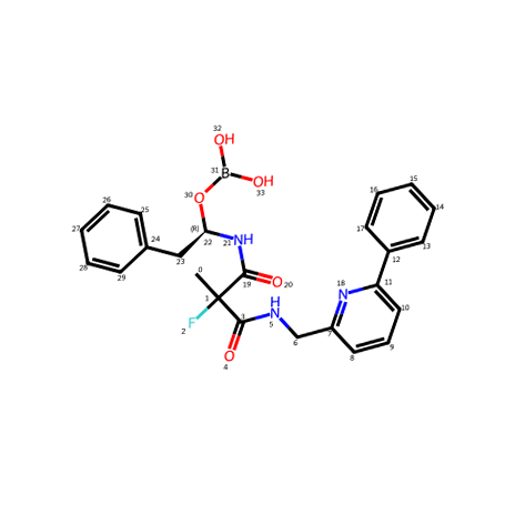 CC(F)(C(=O)NCc1cccc(-c2ccccc2)n1)C(=O)N[C@@H](Cc1ccccc1)OB(O)O